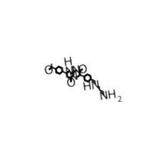 CC(=O)c1ccc(-c2cc(=O)n3cc(-c4ccc(CNCCCN)cc4)c(=O)nc3[nH]2)cc1